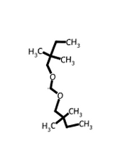 CCC(C)(C)CO[CH]OCC(C)(C)CC